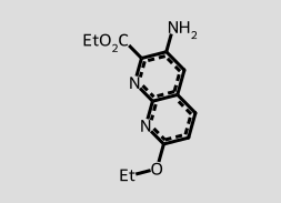 CCOC(=O)c1nc2nc(OCC)ccc2cc1N